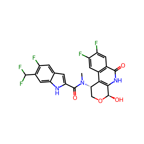 CN(C(=O)c1cc2cc(F)c(C(F)F)cc2[nH]1)[C@H]1CO[C@H](O)c2[nH]c(=O)c3cc(F)c(F)cc3c21